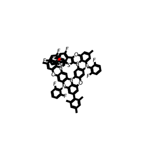 Cc1cc(C)c(-c2cc3c4c(c2)N(c2c(F)cccc2F)c2cc5c(cc2B4c2cc4c(cc2O3)N(c2c(F)cccc2F)c2cc(C)cc3c2B4c2sc4cc(F)cc(F)c4c2O3)B2c3sc4cc(F)cc(F)c4c3Oc3cc(C)cc(c32)O5)c(C)c1